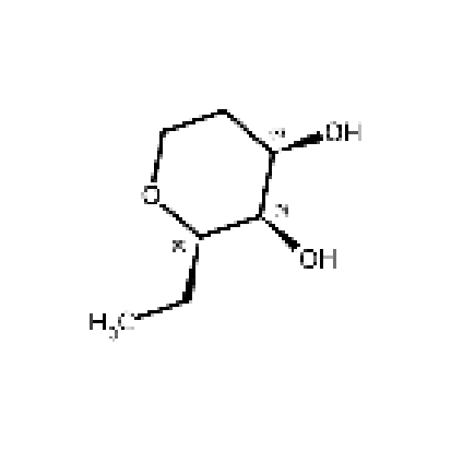 CC[C@H]1OCC[C@@H](O)[C@H]1O